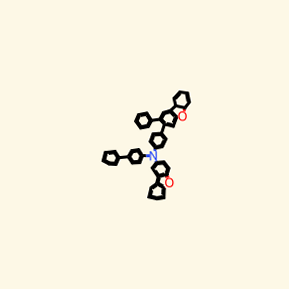 C1=CC2Oc3cc(-c4ccc(N(c5ccc(-c6ccccc6)cc5)c5ccc6oc7ccccc7c6c5)cc4)c(-c4ccccc4)cc3C2C=C1